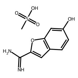 CS(=O)(=O)O.N=C(N)c1cc2ccc(O)cc2o1